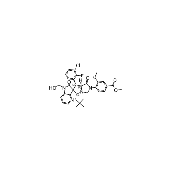 COC(=O)c1ccc(N2CN3[C@@H](CC(C)(C)C)C4(C(=O)N(CO)c5cccnc54)[C@@H](c4cccc(Cl)c4F)[C@@H]3C2=O)c(OC)c1